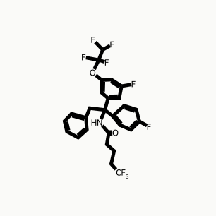 O=C(CCCC(F)(F)F)NC(Cc1ccccc1)(c1ccc(F)cc1)c1cc(F)cc(OC(F)(F)C(F)F)c1